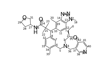 CC[C@@H]1CN(Cc2cc(C(c3ccc4c(nnn4C)c3C)C(C)(C)C(=O)NC3CCOC3)ccc2C)Cc2cnccc2O1